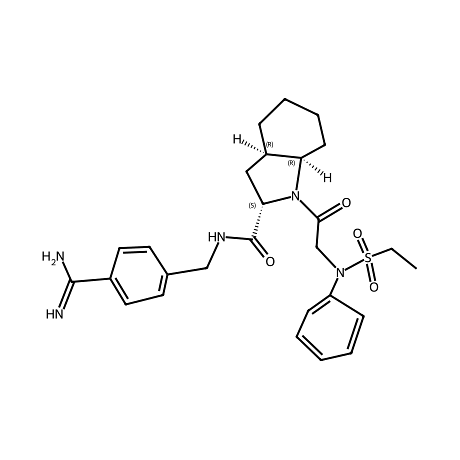 CCS(=O)(=O)N(CC(=O)N1[C@@H]2CCCC[C@@H]2C[C@H]1C(=O)NCc1ccc(C(=N)N)cc1)c1ccccc1